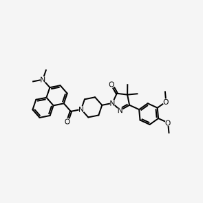 COc1ccc(C2=NN(C3CCN(C(=O)c4ccc(N(C)C)c5ccccc45)CC3)C(=O)C2(C)C)cc1OC